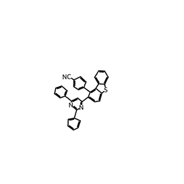 N#Cc1ccc(-c2c(-c3cc(-c4ccccc4)nc(-c4ccccc4)n3)ccc3sc4ccccc4c23)cc1